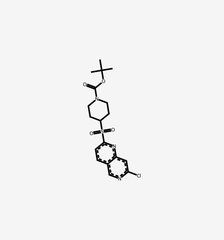 CC(C)(C)OC(=O)N1CCC(S(=O)(=O)c2ccc3cnc(Cl)cc3n2)CC1